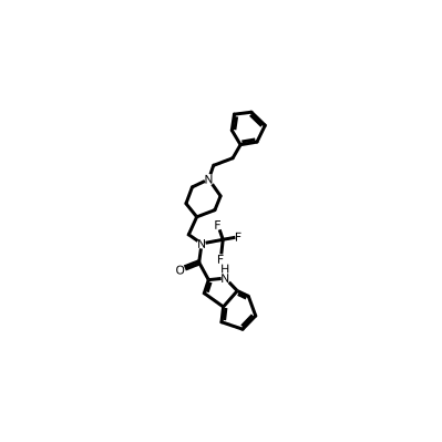 O=C(c1cc2ccccc2[nH]1)N(CC1CCN(CCc2ccccc2)CC1)C(F)(F)F